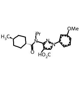 COc1cccc(-n2cc(C(=O)O)c(N(C(=O)[C@H]3CC[C@H](C)CC3)C(C)C)n2)c1